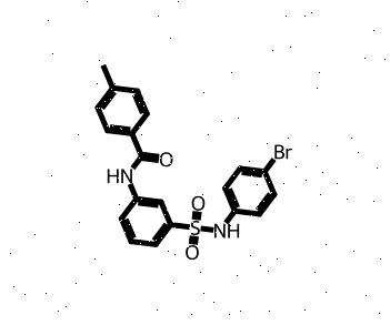 Cc1ccc(C(=O)Nc2cccc(S(=O)(=O)Nc3ccc(Br)cc3)c2)cc1